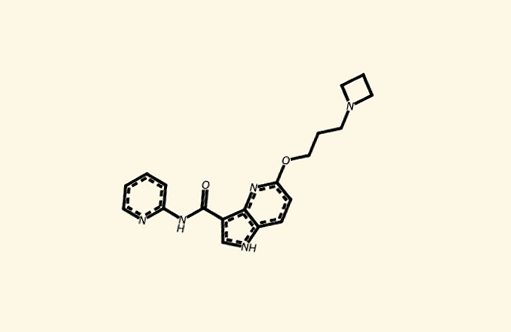 O=C(Nc1ccccn1)c1c[nH]c2ccc(OCCCN3CCC3)nc12